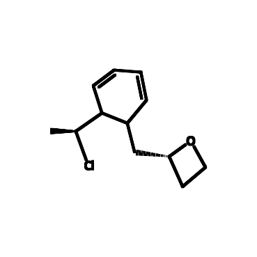 C[C@H](Cl)C1C=CC=CC1C[C@H]1CCO1